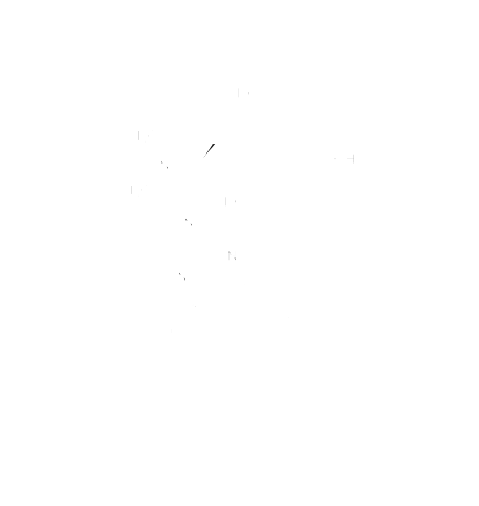 Cc1cc(O)cc(C)c1C[C@@H](CNc1nc(=O)cc(CC2Cc3ccccc3C2)[nH]1)N(C)C